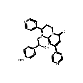 Cl.O=c1cc(-c2ccncc2)nc2n1CCC(c1ccncc1)N2CC(O)c1ccccc1